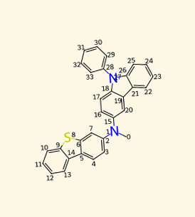 CN(c1ccc2c(c1)sc1ccccc12)c1ccc2c(c1)c1ccccc1n2-c1ccccc1